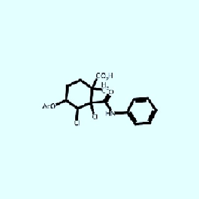 CC(=O)OC1CCC(C)(C(=O)O)C(Cl)(C(=O)Nc2ccccc2)C1Cl